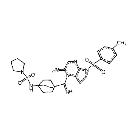 Cc1ccc(S(=O)(=O)n2ccc3c2ncc(=N)n3C(=N)C23CCC(NS(=O)(=O)N4CCCC4)(CC2)CC3)cc1